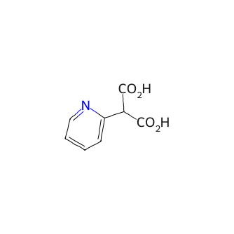 O=C(O)C(C(=O)O)c1ccccn1